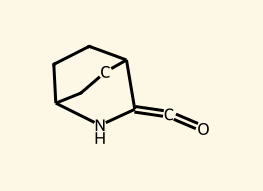 O=C=C1NC2CCC1CC2